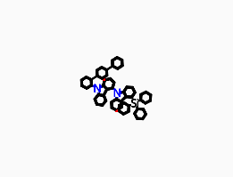 c1ccc(-c2ccc(-c3ccccc3-n3c4ccccc4c4c(-n5c6ccccc6c6c([Si](c7ccccc7)(c7ccccc7)c7ccccc7)cccc65)cccc43)cc2)cc1